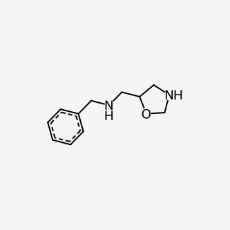 c1ccc(CNCC2CNCO2)cc1